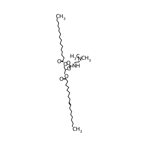 CCCCCCCCC=CCCCCCCCC(=O)OCC(COC(=O)CCCCCCCCCCCCCCC)OC(=O)NCCN(C)C